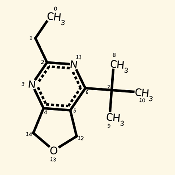 CCc1nc2c(c(C(C)(C)C)n1)COC2